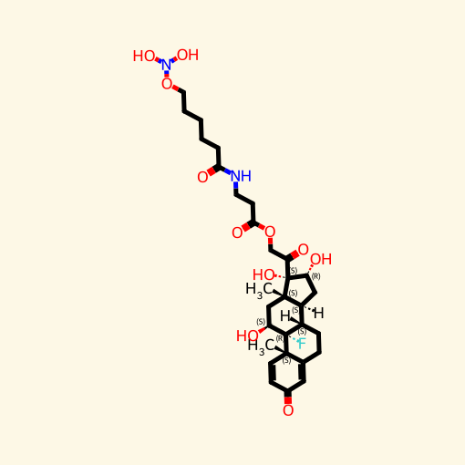 C[C@]12C=CC(=O)C=C1CC[C@H]1[C@@H]3C[C@@H](O)[C@](O)(C(=O)COC(=O)CCNC(=O)CCCCCON(O)O)[C@@]3(C)C[C@H](O)[C@@]12F